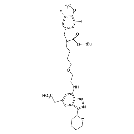 CC(C)(C)OC(=O)N(CCCCOCCNc1cc(CC(=O)O)cc2c1cnn2C1CCCCO1)Cc1cc(F)c(OC(F)(F)F)c(F)c1